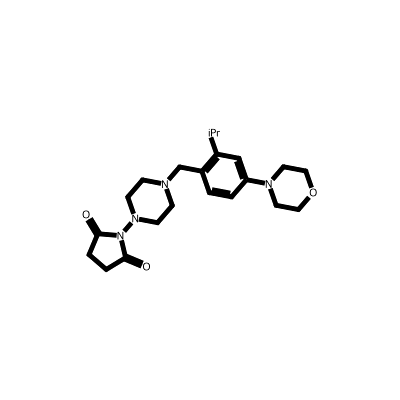 CC(C)c1cc(N2CCOCC2)ccc1CN1CCN(N2C(=O)CCC2=O)CC1